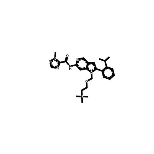 CC(C)c1ccccc1-c1cc2cnc(NC(=O)c3ncnn3C)cc2n1COCC[Si](C)(C)C